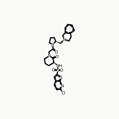 O=C1[C@@H](NS(=O)(=O)c2cc3ccc(Cl)nc3s2)CCCN1CC(=O)N1CCC[C@H]1CN1CCc2ccccc2C1